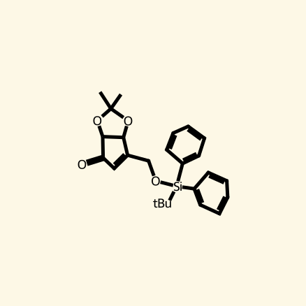 CC1(C)OC2C(=O)C=C(CO[Si](c3ccccc3)(c3ccccc3)C(C)(C)C)C2O1